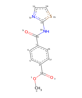 COC(=O)c1ccc(C(=O)Nc2nccs2)cc1